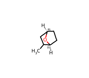 CC1C[C@H]2CC[C@@H]1O2